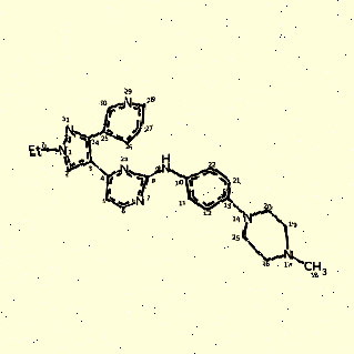 CCn1cc(-c2ccnc(Nc3ccc(N4CCN(C)CC4)cc3)n2)c(-c2cccnc2)n1